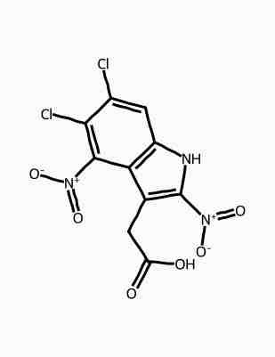 O=C(O)Cc1c([N+](=O)[O-])[nH]c2cc(Cl)c(Cl)c([N+](=O)[O-])c12